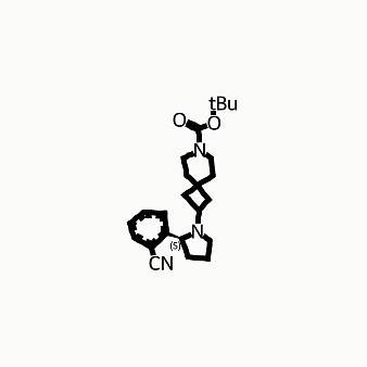 CC(C)(C)OC(=O)N1CCC2(CC1)CC(N1CCC[C@H]1c1ccccc1C#N)C2